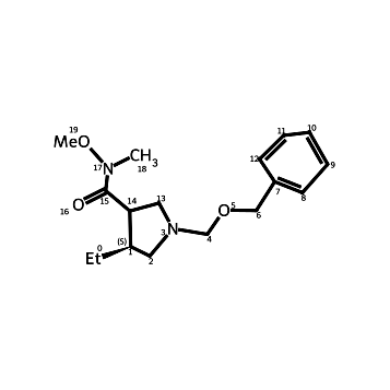 CC[C@@H]1CN(COCc2ccccc2)CC1C(=O)N(C)OC